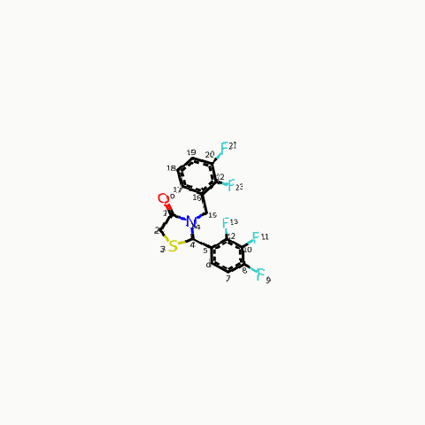 O=C1CSC(c2ccc(F)c(F)c2F)N1Cc1cccc(F)c1F